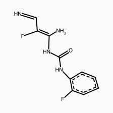 N=C/C(F)=C(\N)NC(=O)Nc1ccccc1F